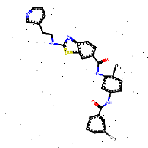 Cc1ccc(NC(=O)c2cccc(C(F)(F)F)c2)cc1NC(=O)c1ccc2nc(NCCc3cccnc3)sc2c1